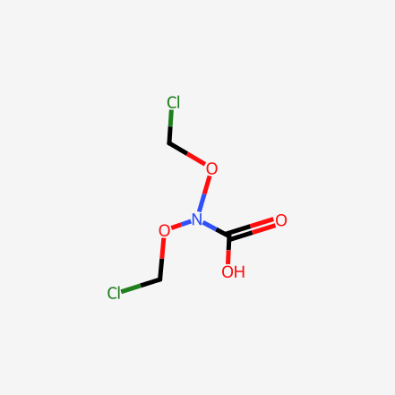 O=C(O)N(OCCl)OCCl